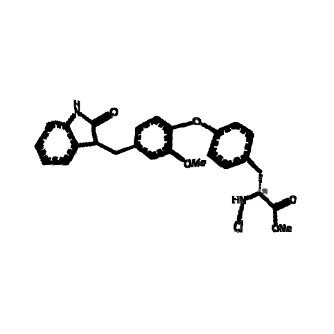 COC(=O)[C@@H](Cc1ccc(Oc2ccc(CC3C(=O)Nc4ccccc43)cc2OC)cc1)NCl